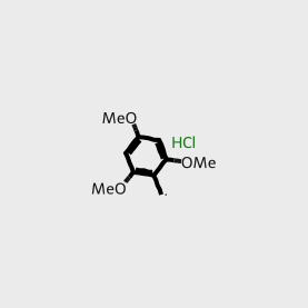 Cl.[CH2]c1c(OC)cc(OC)cc1OC